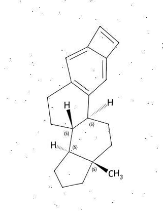 C[C@@]12CCC[C@H]1[C@@H]1CCc3cc4c(cc3[C@H]1CC2)C=C4